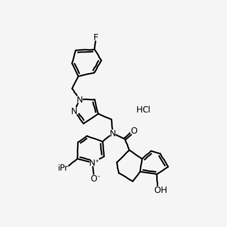 CC(C)c1ccc(N(Cc2cnn(Cc3ccc(F)cc3)c2)C(=O)C2CCCc3c(O)cccc32)c[n+]1[O-].Cl